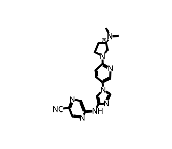 CN(C)[C@@H]1CCN(c2ccc(-n3cnc(Nc4cnc(C#N)cn4)c3)cn2)C1